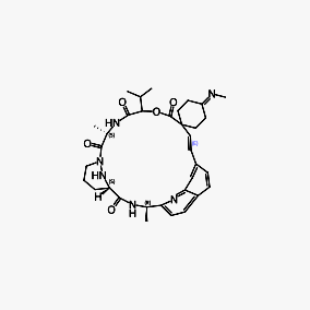 CN=C1CCC2(/C=C/c3ccc4ccc(nc4c3)[C@@H](C)NC(=O)[C@@H]3CCCN(N3)C(=O)[C@H](C)NC(=O)C(C(C)C)OC2=O)CC1